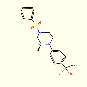 C[C@H]1CN(S(=O)(=O)c2ccccc2)CCN1c1ccc(C(O)(C(F)(F)F)C(F)(F)F)cc1